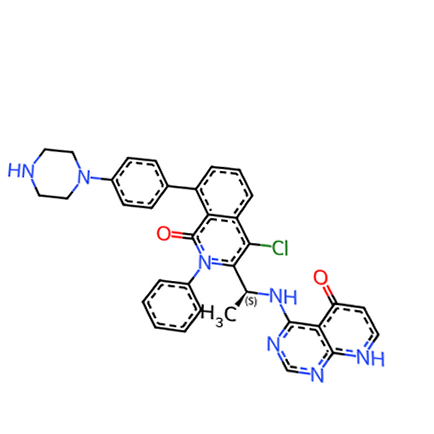 C[C@H](Nc1ncnc2[nH]ccc(=O)c12)c1c(Cl)c2cccc(-c3ccc(N4CCNCC4)cc3)c2c(=O)n1-c1ccccc1